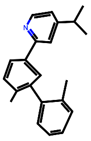 Cc1ccccc1-c1cc(-c2cc(C(C)C)ccn2)ccc1C